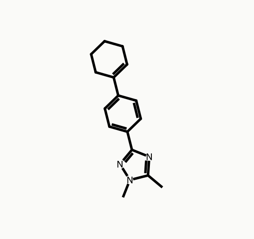 Cc1nc(-c2ccc(C3=CCCCC3)cc2)nn1C